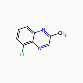 Cc1cnc2c(Cl)cccc2n1